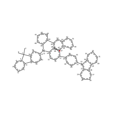 CC1(C)c2ccccc2-c2ccc(N(c3ccc(-c4ccc(-n5c6ccccc6c6ccccc65)cc4)cc3)c3ccccc3-c3ccc4ccccc4c3)cc21